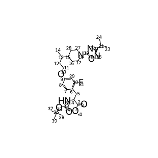 COC(=O)C(Cc1ccc(OCCC(C)C2CCN(c3nc(C(C)C)no3)CC2)cc1F)NC(=O)OC(C)(C)C